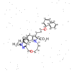 Cc1ccc2c(CCCOc3cccc4ccccc34)c(C(=O)O)n3c2c1-c1c(nn(C)c1C)COCCCC3